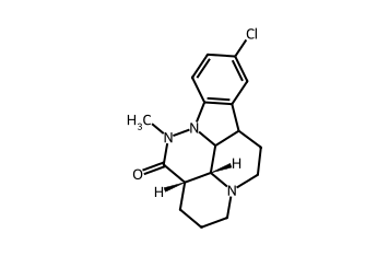 CN1C(=O)[C@H]2CCCN3CCC4c5cc(Cl)ccc5N1C4[C@@H]23